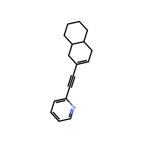 C(#Cc1ccccn1)C1=CCC2CCCCC2C1